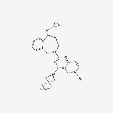 Cc1ccc2nc(N3CCS(=NC4CC4)c4ccccc4C3)nc(N3CC4(CNC4)C3)c2c1